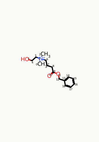 C[N+](C)(CCO)CCCC(=O)OCc1ccccc1